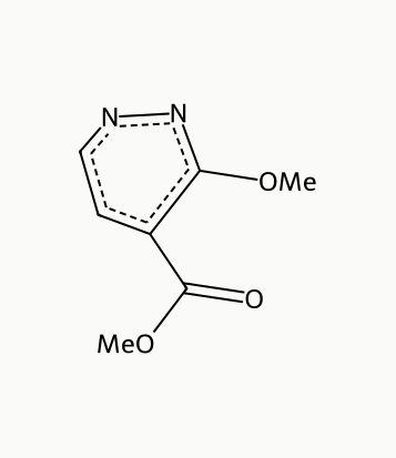 COC(=O)c1ccnnc1OC